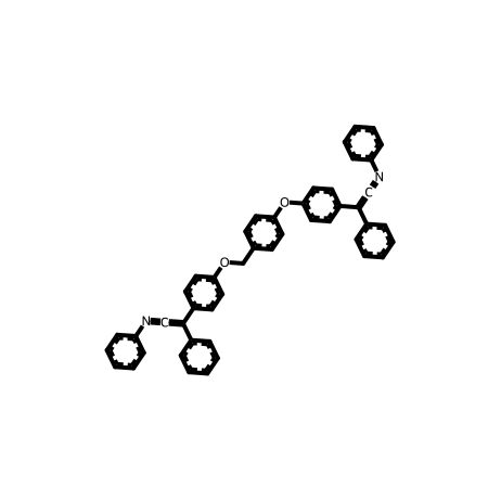 C(=Nc1ccccc1)=C(c1ccccc1)c1ccc(OCc2ccc(Oc3ccc(C(=C=Nc4ccccc4)c4ccccc4)cc3)cc2)cc1